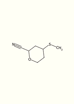 CSC1CCOC(C#N)C1